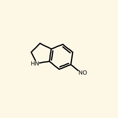 O=Nc1ccc2c(c1)NCC2